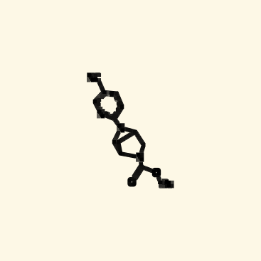 CC(C)(C)OC(=O)N1CC2CC1CN2c1ccc(C#N)cn1